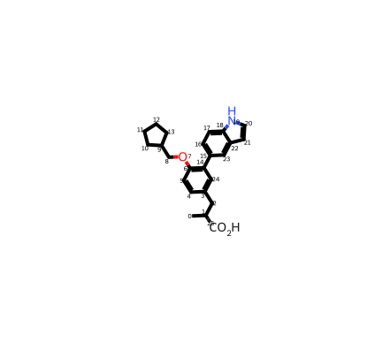 CC(Cc1ccc(OCC2CCCC2)c(-c2ccc3[nH]ccc3c2)c1)C(=O)O